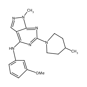 COc1cccc(Nc2nc(N3CCC(C)CC3)nc3c2cnn3C)c1